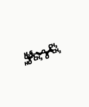 C=C(C)C(=O)OCC[N+](C)(C)C(=O)O